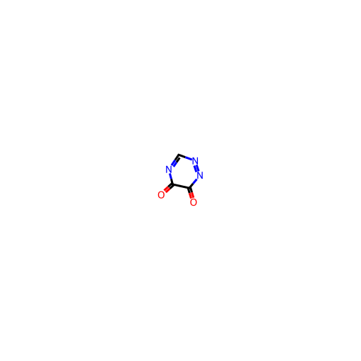 O=C1N=CN=NC1=O